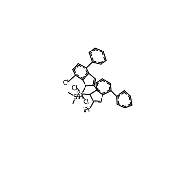 CC1=Cc2c(-c3ccccc3)ccc(Cl)c2[CH]1[Zr]([Cl])([Cl])([CH]1C(C(C)C)=Cc2c(-c3ccccc3)cccc21)[SiH](C)C